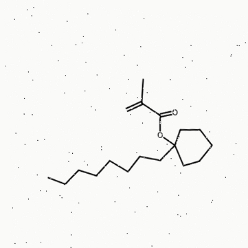 C=C(C)C(=O)OC1(CCCCCCCC)CCCCC1